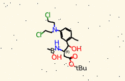 CB(O)N[C@H](CC(=O)OC(C)(C)C)C(O)c1cc(N(CCCl)CCCl)ccc1C